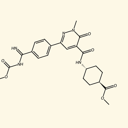 CCOC(=O)NC(=N)c1ccc(-c2cc(C(=O)N[C@H]3CC[C@H](C(=O)OC)CC3)c(=O)n(C)n2)cc1